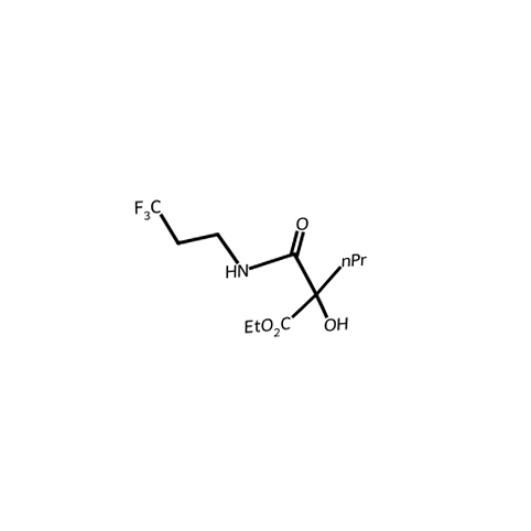 CCCC(O)(C(=O)NCCC(F)(F)F)C(=O)OCC